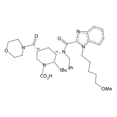 COCCCCCn1c(C(=O)N(CC(C)C)[C@H]2C[C@@H](C(=O)N3CCOCC3)CN(C(=O)O)C2C(C)(C)C)nc2ccccc21